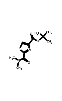 CN(C)C(=O)c1nc(C(=O)OC(C)(C)C)cs1